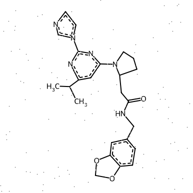 CC(C)c1cc(N2CCCC2CC(=O)NCc2ccc3c(c2)OCO3)nc(-n2ccnc2)n1